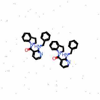 O=C(c1cccnc1NCc1ccccc1)N1CCc2ccccc21.O=C(c1cccnc1NCc1ccccc1)N1CCc2ccccc21